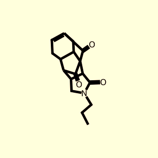 CCCN1CC2C3C(=O)C4(C(=O)C5=CCC3C4C5)C2C1=O